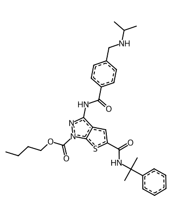 CCCCOC(=O)n1nc(NC(=O)c2ccc(CNC(C)C)cc2)c2cc(C(=O)NC(C)(C)c3ccccc3)sc21